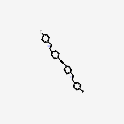 Fc1ccc(/C=C/c2ccc(C#Cc3ccc(/C=C/c4ccc(F)cc4)cc3)cc2)cc1